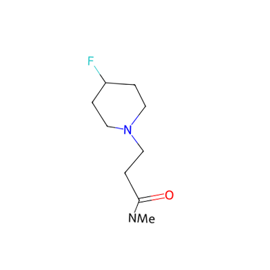 CNC(=O)CCN1CCC(F)CC1